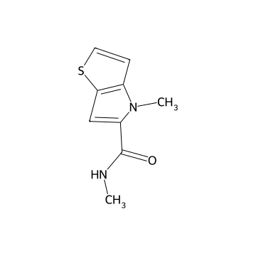 CNC(=O)c1cc2sccc2n1C